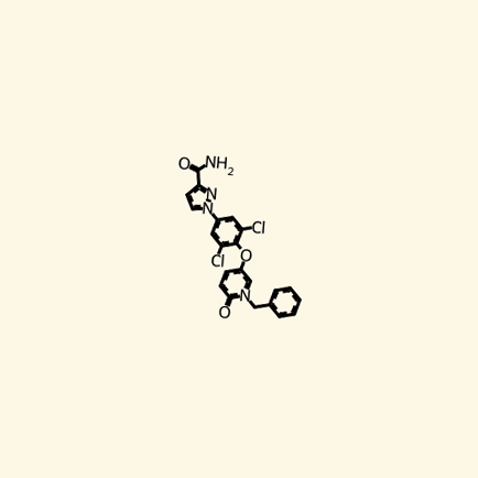 NC(=O)c1ccn(-c2cc(Cl)c(Oc3ccc(=O)n(Cc4ccccc4)c3)c(Cl)c2)n1